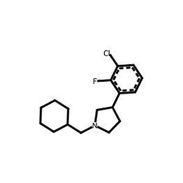 Fc1c(Cl)cccc1C1CCN(CC2CCCCC2)C1